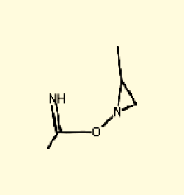 CC(=N)ON1CC1C